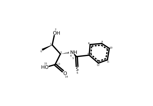 C[C@@H](O)[C@H](NC(=S)c1ccccc1)C(=O)O